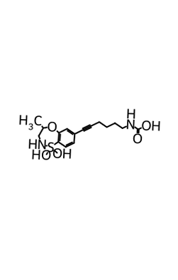 CC1CNS(O)(O)c2ccc(C#CCCCCNC(=O)O)cc2O1